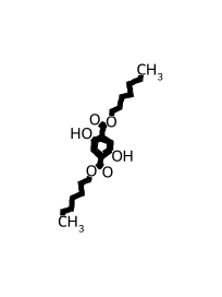 CCCCCCCOC(=O)c1cc(O)c(C(=O)OCCCCCCC)cc1O